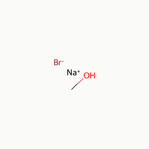 CO.[Br-].[Na+]